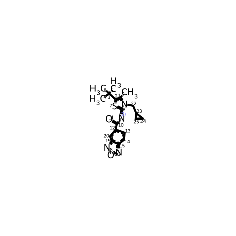 Cc1c(C(C)(C)C)s/c(=N\C(=O)c2ccc3nonc3c2)n1CC1CC1